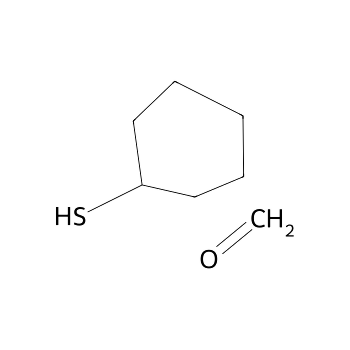 C=O.SC1CCCCC1